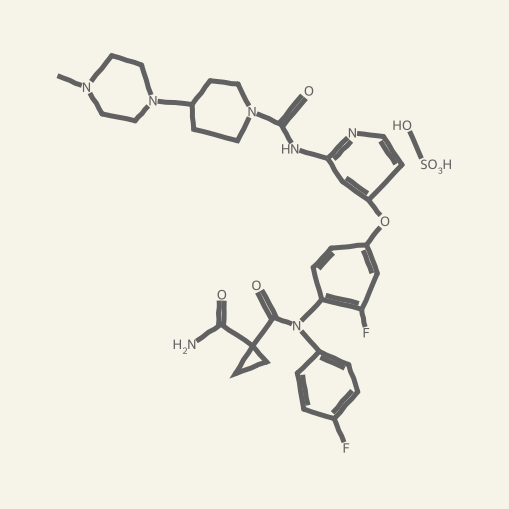 CN1CCN(C2CCN(C(=O)Nc3cc(Oc4ccc(N(C(=O)C5(C(N)=O)CC5)c5ccc(F)cc5)c(F)c4)ccn3)CC2)CC1.O=S(=O)(O)O